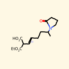 CCOC(=O)C(/C=C/CCC(C)N1CCCC1=O)C(=O)O